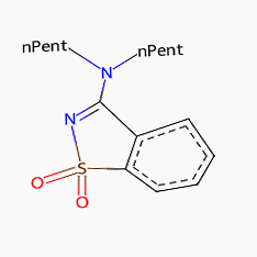 CCCCCN(CCCCC)C1=NS(=O)(=O)c2ccccc21